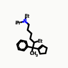 CCC(CCCCN(CC)C(C)C)C(C)(C1=CCCC1)c1ccccc1